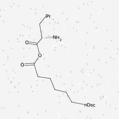 CCCCCCCCCCCCCCCC(=O)OC(=O)[C@@H](N)CC(C)C